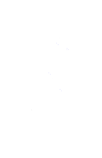 CCOC(=O)CCc1c(CNc2ccc(C)cc2C(=O)Nc2ccc(C(=N)NC(=O)OCC)cc2)cc(CO)cc1OC(C)C